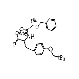 COC(=O)C(Cc1ccc(OCC(C)(C)C)cc1)NC(=O)[C@@H](OCc1ccccc1)C(C)(C)C